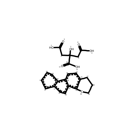 O=C(O)CC(O)(CC(=O)O)C(=O)O.c1ccc2c(c1)ccc1c3c(ccc12)CCCC3